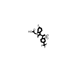 Cc1c(C2=CS(=O)(=O)c3cc(C(F)(F)F)ccc32)c2ccc(F)cc2n1CC(=O)O